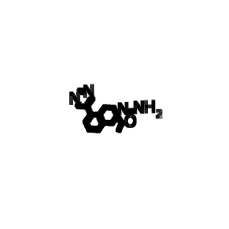 CC1OC(N)=NC12CCc1c(cccc1-c1cncnc1)C2